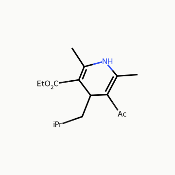 CCOC(=O)C1=C(C)NC(C)=C(C(C)=O)C1CC(C)C